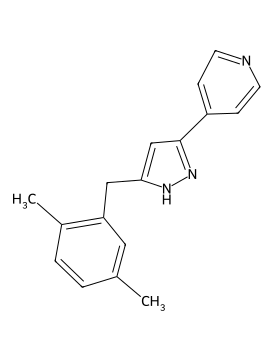 Cc1ccc(C)c(Cc2cc(-c3ccncc3)n[nH]2)c1